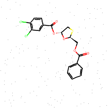 O=C(OC[C@H]1O[C@H](OC(=O)c2ccc(Cl)c(Cl)c2)CS1)c1ccccc1